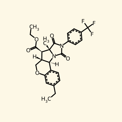 CCOC(=O)[C@@H]1[C@H]2COc3cc(CC)ccc3[C@@H]2N2C(=O)N(c3ccc(C(F)(F)F)cc3)C(=O)[C@@]12C